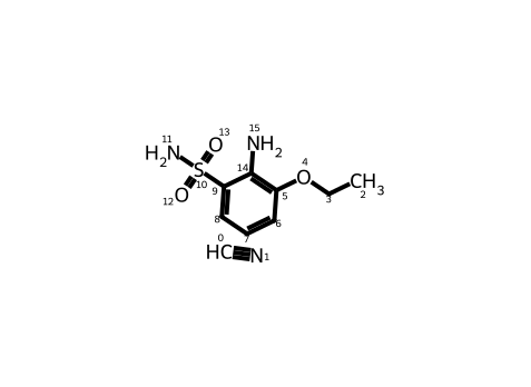 C#N.CCOc1cccc(S(N)(=O)=O)c1N